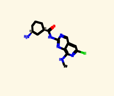 CC(C)Nc1nc(Cl)cc2cnc(NC(=O)[C@H]3CCC[C@@H](N)C3)nc12